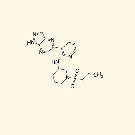 CCCS(=O)(=O)N1CCCC(Nc2ncccc2-c2cnc3[nH]ncc3n2)C1